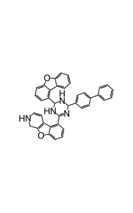 C1=Cc2c(oc3cccc(C4=NC(c5ccc(-c6ccccc6)cc5)NC(c5cccc6oc7ccccc7c56)N4)c23)CN1